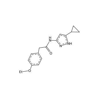 CCOc1ccc(CC(=O)Nc2cc(C3CC3)[nH]n2)cc1